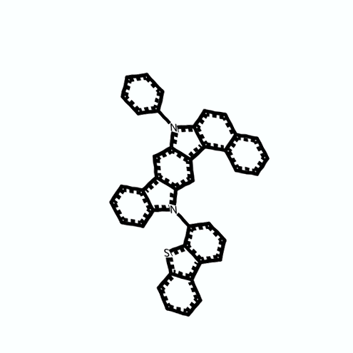 c1ccc(-n2c3cc4c5ccccc5n(-c5cccc6c5sc5ccccc56)c4cc3c3c4ccccc4ccc32)cc1